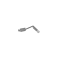 N#CC=O